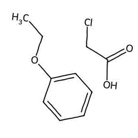 CCOc1ccccc1.O=C(O)CCl